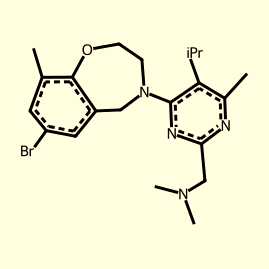 Cc1cc(Br)cc2c1OCCN(c1nc(CN(C)C)nc(C)c1C(C)C)C2